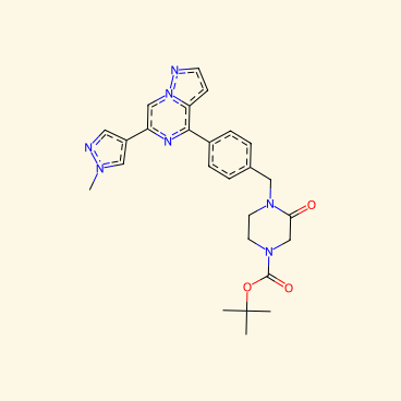 Cn1cc(-c2cn3nccc3c(-c3ccc(CN4CCN(C(=O)OC(C)(C)C)CC4=O)cc3)n2)cn1